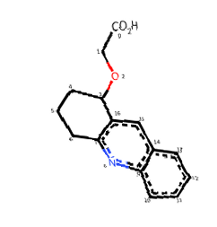 O=C(O)COC1CCCc2nc3ccccc3cc21